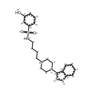 O=S(=O)(NCCCCN1CCN(c2nsc3ccccc23)CC1)c1cccc(O)c1